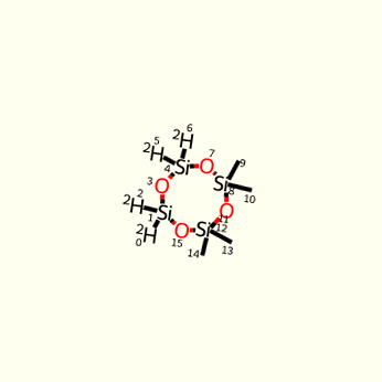 [2H][Si]1([2H])O[Si]([2H])([2H])O[Si](C)(C)O[Si](C)(C)O1